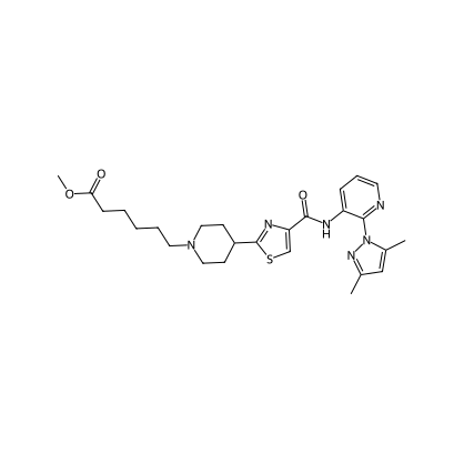 COC(=O)CCCCCN1CCC(c2nc(C(=O)Nc3cccnc3-n3nc(C)cc3C)cs2)CC1